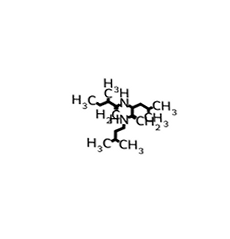 C=C(NC(CC(C)C)C(=C)NCCC(C)C)C(C)CC